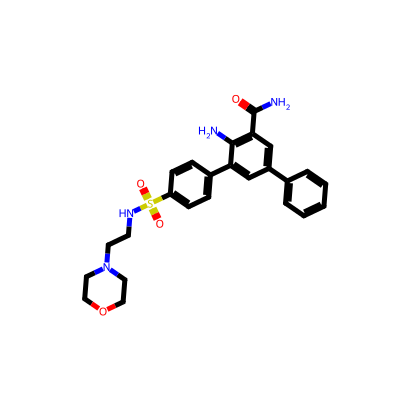 NC(=O)c1cc(-c2ccccc2)cc(-c2ccc(S(=O)(=O)NCCN3CCOCC3)cc2)c1N